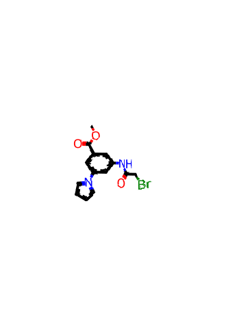 COC(=O)c1cc(NC(=O)CBr)cc(-n2cccc2)c1